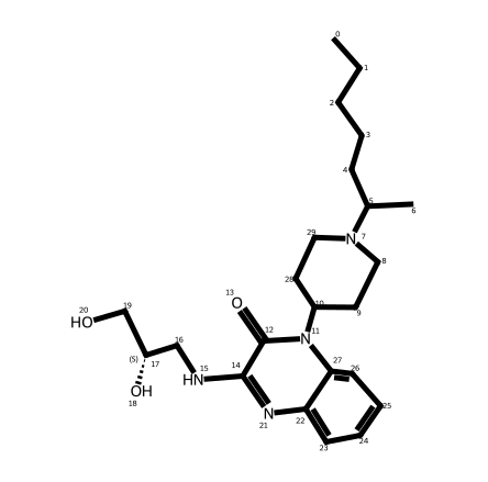 CCCCCC(C)N1CCC(n2c(=O)c(NC[C@H](O)CO)nc3ccccc32)CC1